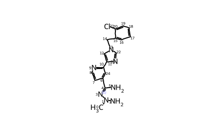 CN(N)/N=C(\N)c1ccnc(-c2cn(Cc3ccccc3Cl)cn2)c1